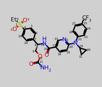 CCS(=O)(=O)c1ccc([C@H](COC(N)=O)NC(=O)c2ccc(N(c3ccc(C(F)(F)F)cc3)C3CC3)nc2)cc1